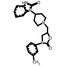 Cc1cccc(N2CC(CN3CCC(n4c(=O)[nH]c5ccccc54)CC3)OC2=O)c1